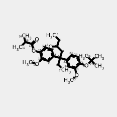 CCC(C)CC(CC)(c1ccc(OC(=O)C(C)C)c(OC)c1)c1ccc(OC(C)(C)C)c(OC)c1